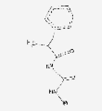 CC(C)NC(=S)NC(=O)C(C)c1ccccc1